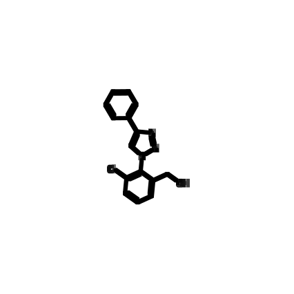 OCc1cccc(Cl)c1-n1cc(-c2ccccc2)nn1